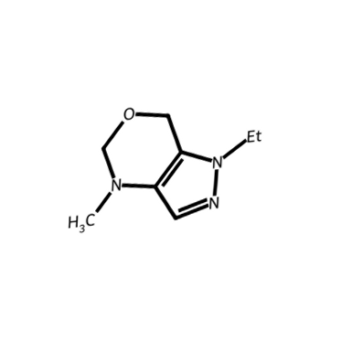 CCn1ncc2c1COCN2C